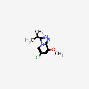 COc1cc(Cl)cn2c(C(C)C)nnc12